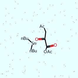 CC(=O)CC(=O)C(=O)OC(C)=O.CCC[CH2][Sn][CH2]CCC